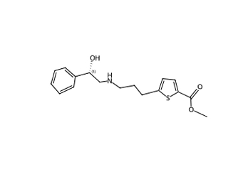 COC(=O)c1ccc(CCCNC[C@@H](O)c2ccccc2)s1